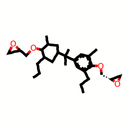 CCCc1cc(C(C)(C)C2CC(C)C(OCC3CO3)C(CCC)C2)cc(C)c1OC[C@@H]1CO1